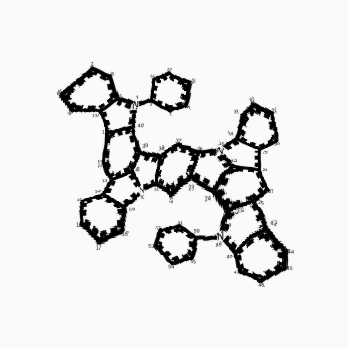 c1ccc(-n2c3ccccc3c3cc4c5ccccc5n5c6cc7c8c9c(cc%10c%11ccccc%11n(c7cc6c(c32)c45)c%108)c2ccccc2n9-c2ccccc2)cc1